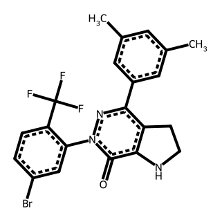 Cc1cc(C)cc(-c2nn(-c3cc(Br)ccc3C(F)(F)F)c(=O)c3c2CCN3)c1